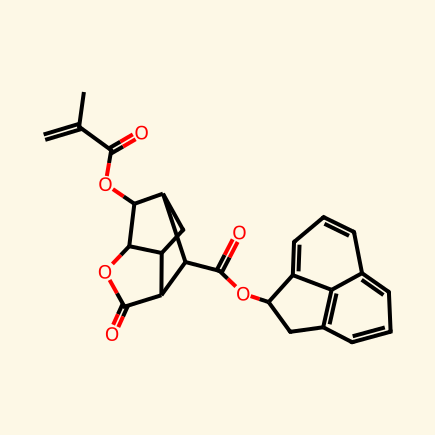 C=C(C)C(=O)OC1C2CC3C1OC(=O)C3C2C(=O)OC1Cc2cccc3cccc1c23